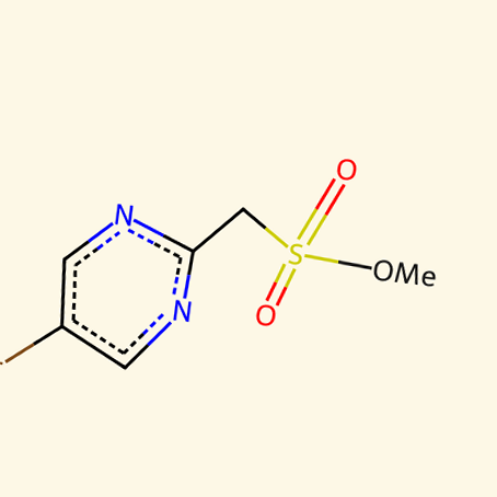 COS(=O)(=O)Cc1ncc(Br)cn1